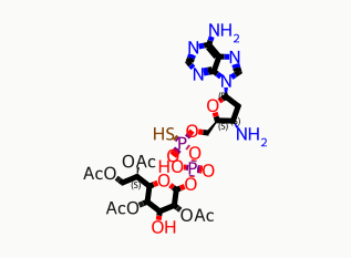 CC(=O)OC[C@H](OC(C)=O)C1OC(OP(=O)(O)OP(=O)(S)OC[C@H]2O[C@@H](n3cnc4c(N)ncnc43)C[C@@H]2N)C(OC(C)=O)C(O)C1OC(C)=O